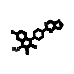 Cn1c(=O)c(=O)n(C2CCN(c3ncc4sccc4n3)CC2)c2ccc(F)cc21